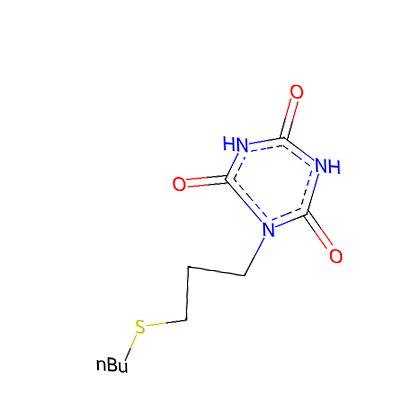 CCCCSCCCn1c(=O)[nH]c(=O)[nH]c1=O